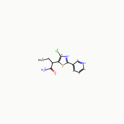 CSCC(C(N)=O)c1sc(-c2cccnc2)nc1Cl